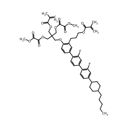 C=C(C)C(=O)OCCCc1cc(-c2ccc(-c3ccc(C4CCC(CCCCC)CC4)cc3F)cc2F)ccc1OCC(COC(=O)C(=C)C)(COC(=O)C(=O)OC)COC(=O)C(=O)OC